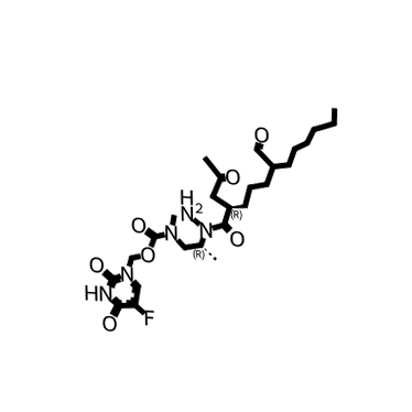 CCCCCCC(C=O)CCC[C@H](CC(C)=O)C(=O)N(N)[C@H](C)CN(C)C(=O)OCn1cc(F)c(=O)[nH]c1=O